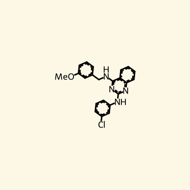 COc1cccc(CNc2nc(Nc3cccc(Cl)c3)nc3ccccc23)c1